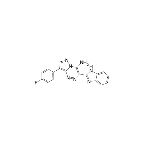 Nc1c(-c2nc3ccccc3[nH]2)nnc2c(-c3ccc(F)cc3)cnn12